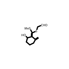 C=C1CCCC(O)/C1=C(\SC)SCC=O